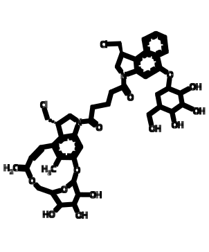 C=C1/C=C\c2c(C)c(cc3c2[C@H](CCl)CN3C(=O)CCCC(=O)N2C[C@@H](CCl)c3c2cc(OC2CC(CO)C(O)C(O)C2O)c2ccccc32)OC2OC(CO1)C(O)C(O)C2O